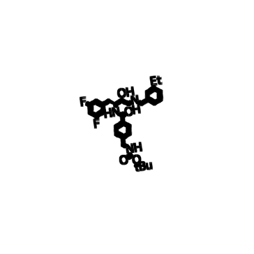 CCc1cccc(CNC[C@H](O)[C@H](Cc2cc(F)cc(F)c2)NC(=O)c2ccc(CNC(=O)OC(C)(C)C)cc2)c1